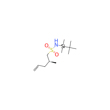 C=CC[C@H](C)CS(=O)(=O)N[Si](C)(C)C(C)(C)C